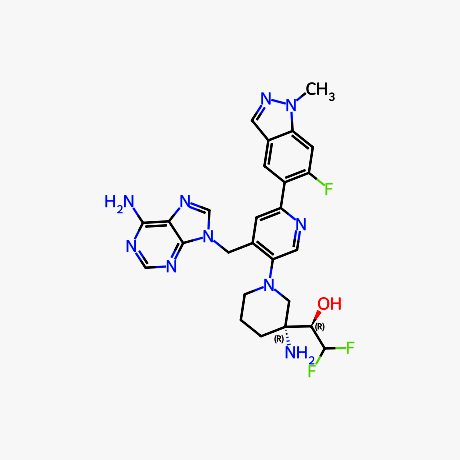 Cn1ncc2cc(-c3cc(Cn4cnc5c(N)ncnc54)c(N4CCC[C@](N)([C@@H](O)C(F)F)C4)cn3)c(F)cc21